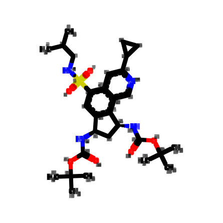 CC(C)CNS(=O)(=O)c1cc2c(c3cnc(C4CC4)cc13)[C@H](NC(=O)OC(C)(C)C)C[C@H]2NC(=O)OC(C)(C)C